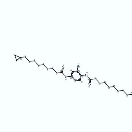 O=C(CCCCCCCCC1CC1)Oc1ccc(OC(=O)CCCCCCCCC2CC2)c(Br)c1